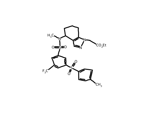 CCOC(=O)Cn1ncc2c1CCCC2N(C)S(=O)(=O)c1cc(C(F)(F)F)cc(S(=O)(=O)c2ccc(C)cc2)c1